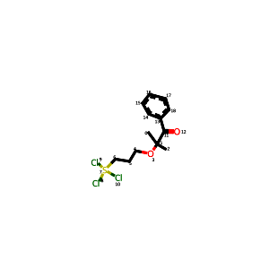 CC(C)(OCCCS(Cl)(Cl)Cl)C(=O)c1ccccc1